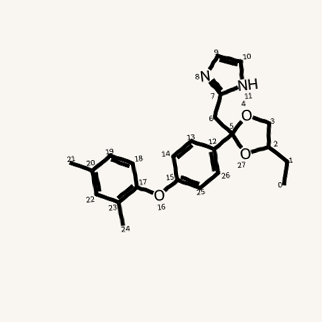 CCC1COC(Cc2ncc[nH]2)(c2ccc(Oc3ccc(C)cc3C)cc2)O1